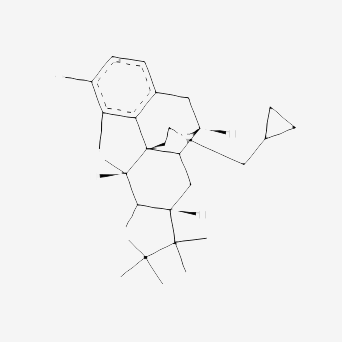 CC1(C)O[C@]2(C)[C@H](C[C@]3(C)[C@H]4Cc5ccc(O)c6c5[C@@]3(CCN4CC3CC3)[C@H]2O6)C1(C)C